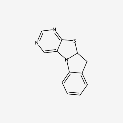 c1ccc2c(c1)CC1Sc3ncncc3N21